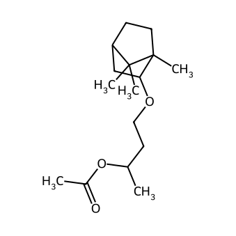 CC(=O)OC(C)CCOC1CC2CCC1(C)C2(C)C